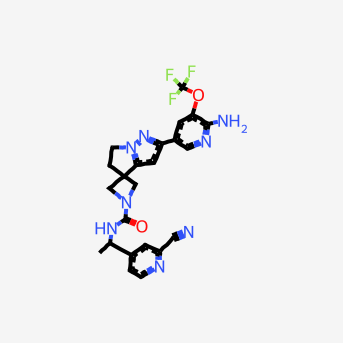 CC(NC(=O)N1CC2(CCn3nc(-c4cnc(N)c(OC(F)(F)F)c4)cc32)C1)c1ccnc(C#N)c1